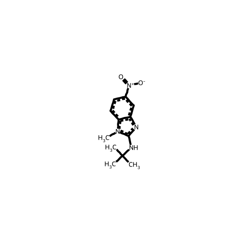 Cn1c(NC(C)(C)C)nc2cc([N+](=O)[O-])ccc21